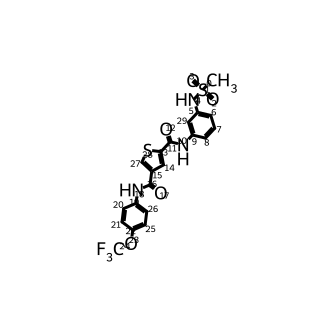 CS(=O)(=O)Nc1cccc(NC(=O)c2cc(C(=O)Nc3ccc(OC(F)(F)F)cc3)cs2)c1